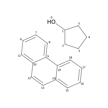 OC1CCCC1.c1ccc2c(c1)ccc1ccccc12